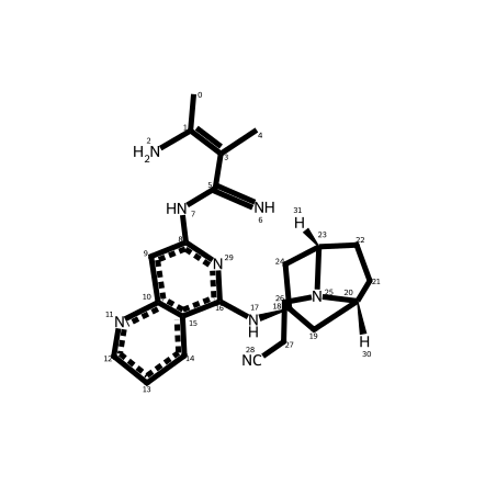 C/C(N)=C(\C)C(=N)Nc1cc2ncccc2c(N[C@@H]2C[C@H]3CC[C@@H](C2)N3CCC#N)n1